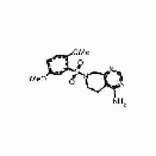 COc1ccc(OC)c(S(=O)(=O)N2CCc3c(N)ncnc3C2)c1